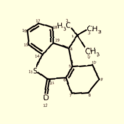 CC(C)(C)C1C2=C(CCCC2)C(=O)Sc2ccccc21